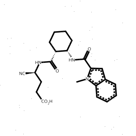 Cn1c(C(=O)N[C@H]2CCCC[C@H]2C(=O)N[C@H](C#N)CCC(=O)O)cc2ccccc21